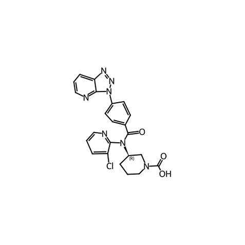 O=C(O)N1CCC[C@@H](N(C(=O)c2ccc(-n3nnc4cccnc43)cc2)c2ncccc2Cl)C1